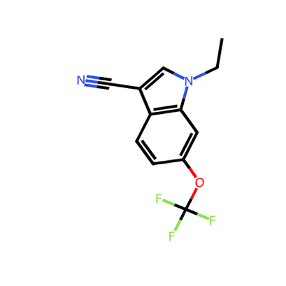 CCn1cc(C#N)c2ccc(OC(F)(F)F)cc21